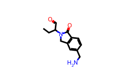 CCC(C=O)N1Cc2cc(CN)ccc2C1=O